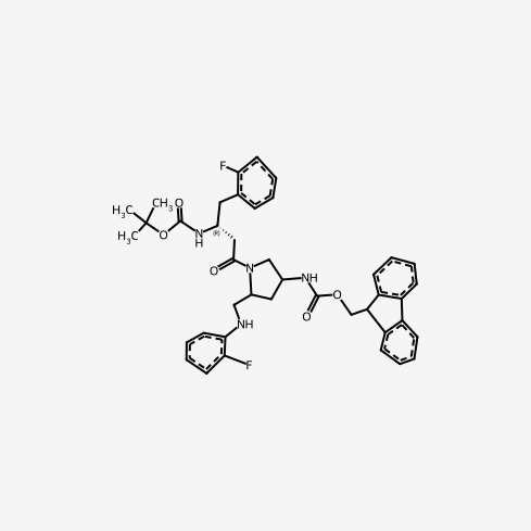 CC(C)(C)OC(=O)N[C@@H](CC(=O)N1CC(NC(=O)OCC2c3ccccc3-c3ccccc32)CC1CNc1ccccc1F)Cc1ccccc1F